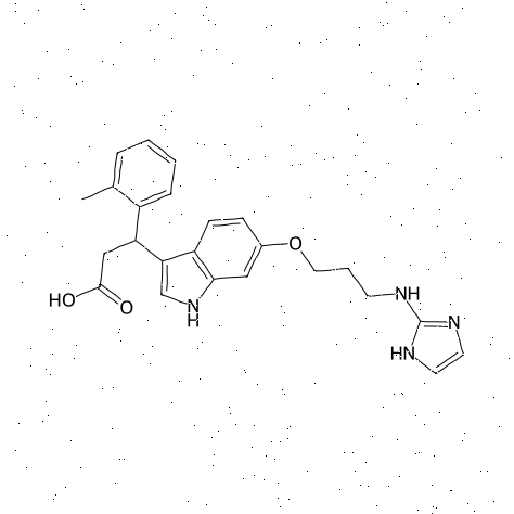 Cc1ccccc1C(CC(=O)O)c1c[nH]c2cc(OCCCNc3ncc[nH]3)ccc12